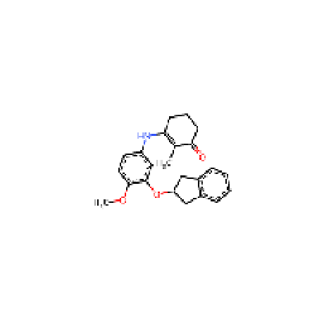 COc1ccc(NC2=C(C)C(=O)CCC2)cc1OC1Cc2ccccc2C1